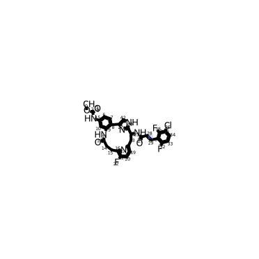 COC(=O)Nc1ccc2c(c1)NC(=O)CCc1nc(ccc1F)CC(NC(=O)/C=C/c1c(F)ccc(Cl)c1F)c1nc-2c[nH]1